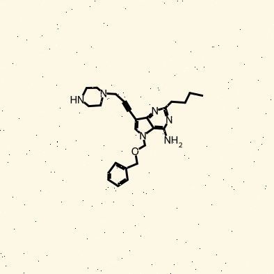 CCCCc1nc(N)c2c(n1)c(C#CCN1CCNCC1)cn2COCc1ccccc1